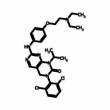 CCN(CC)CCOc1ccc(Nc2ncc3c(n2)N(C(C)C)C(=O)N(c2c(Cl)cccc2Cl)C3)cc1